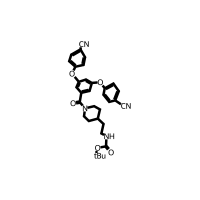 CC(C)(C)OC(=O)NCCC1CCN(C(=O)c2cc(Oc3ccc(C#N)cc3)cc(Oc3ccc(C#N)cc3)c2)CC1